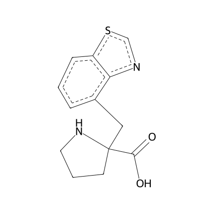 O=C(O)C1(Cc2cccc3scnc23)CCCN1